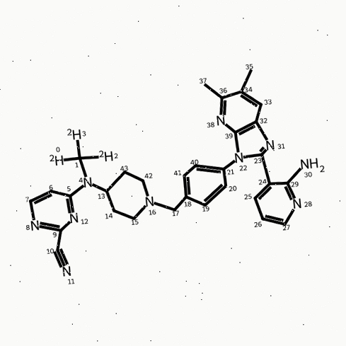 [2H]C([2H])([2H])N(c1ccnc(C#N)n1)C1CCN(Cc2ccc(-n3c(-c4cccnc4N)nc4cc(C)c(C)nc43)cc2)CC1